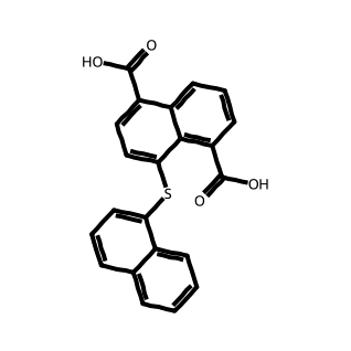 O=C(O)c1ccc(Sc2cccc3ccccc23)c2c(C(=O)O)cccc12